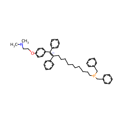 CN(C)CCOc1ccc(/C(=C(/CCCCCCCCCCP(Cc2ccccc2)Cc2ccccc2)c2ccccc2)c2ccccc2)cc1